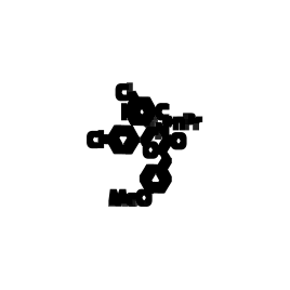 CCC[C@@H](C(=O)O)N1C(=O)[C@@H](Cc2ccc(OC)cc2)O[C@H](c2ccc(Cl)cc2)[C@@H]1c1ccc(Cl)cc1